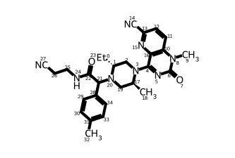 CC[C@@H]1CN(c2nc(=O)n(C)c3ccc(C#N)nc23)[C@@H](C)CN1C(C(=O)NCCC#N)c1ccc(C)cc1